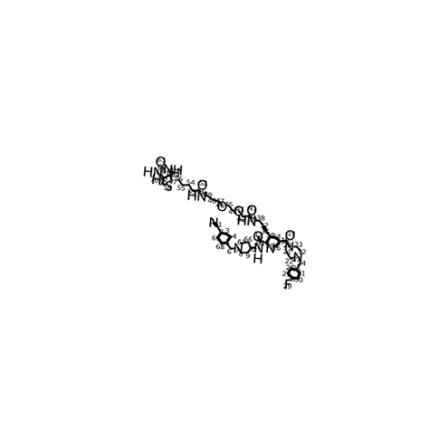 N#Cc1ccc(CN2CCC(NC(=O)c3ncc(C(=O)N4CCN(Cc5ccc(F)cc5)CC4)cc3C#CCNC(=O)COCCOCCCNC(=O)CCCC[C@@H]3SC[C@@H]4NC(=O)N[C@@H]43)CC2)cc1